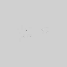 C=CC[C@H](COCc1ccccc1)O[Si](C)(C)C(C)(C)C